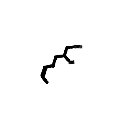 C/C=C\OCC(O)COC